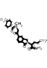 CN(CC(=O)c1ccc2c(c1)CN(C(CCC(=O)O)C(N)=O)C2=O)C(=O)[C@H]1CC[C@H](C(F)(F)F)CC1